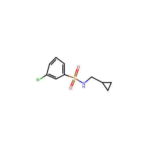 O=S(=O)(NCC1CC1)c1cccc(Br)c1